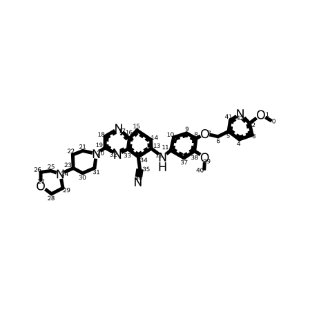 COc1ccc(COc2ccc(Nc3ccc4ncc(N5CCC(N6CCOCC6)CC5)nc4c3C#N)cc2OC)cn1